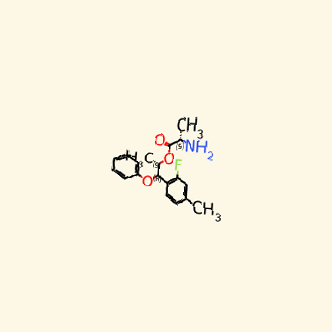 Cc1ccc([C@@H](Oc2ccccc2)[C@H](C)OC(=O)[C@H](C)N)c(F)c1